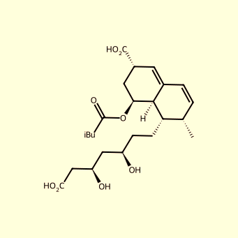 CCC(C)C(=O)O[C@H]1C[C@H](C(=O)O)C=C2C=C[C@H](C)[C@H](CC[C@@H](O)C[C@@H](O)CC(=O)O)[C@H]21